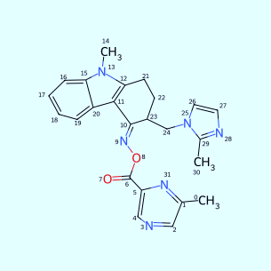 Cc1cncc(C(=O)O/N=C2/c3c(n(C)c4ccccc34)CCC2Cn2ccnc2C)n1